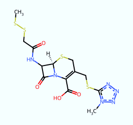 CSSCC(=O)NC1C(=O)N2C(C(=O)O)=C(CSc3nnnn3C)CS[C@H]12